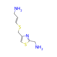 NCC=CSCc1csc(CN)n1